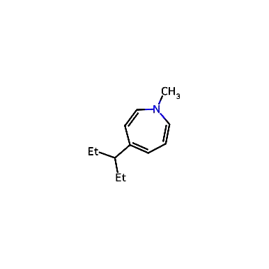 CCC(CC)C1=CC=CN(C)C=C1